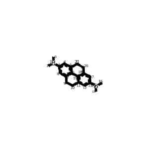 CB(C)c1cc2c3c(c1)CCc1cc(B(C)C)cc(c1-3)CC2